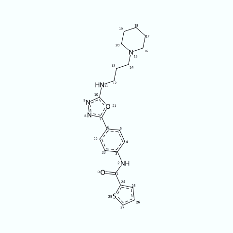 O=C(Nc1ccc(-c2nnc(NCCCN3CCCCC3)o2)cc1)c1cccs1